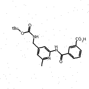 Cc1cc(CNC(=O)OC(C)(C)C)cc(NC(=O)c2cccc(C(=O)O)c2)n1